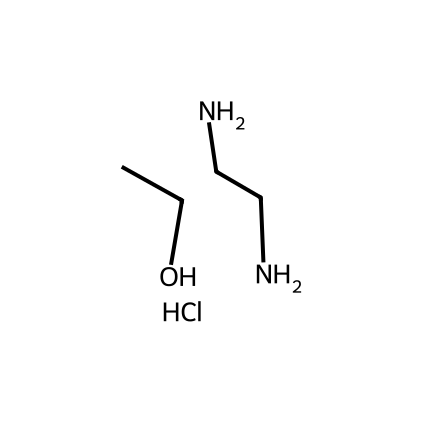 CCO.Cl.NCCN